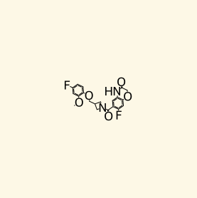 COc1cc(F)ccc1OCC1CN(C(=O)c2cc3c(cc2F)OCC(=O)N3)C1